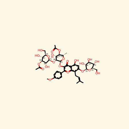 COc1ccc(-c2oc3c(CC=C(C)C)c(O[C@@H]4O[C@H](CO)[C@@H](O)[C@H](O)[C@H]4O)cc(O)c3c(=O)c2O[C@@H]2O[C@@H](C)[C@H](OC(C)=O)[C@@H](O)[C@H]2O[C@@H]2O[C@H](CO)[C@@H](O)[C@H](OC(C)=O)[C@H]2O)cc1